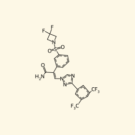 NC(=O)/C(=C/n1cnc(-c2cc(C(F)(F)F)cc(C(F)(F)F)c2)n1)c1cccc(S(=O)(=O)N2CC(F)(F)C2)c1